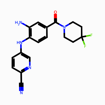 N#Cc1ccc(Nc2ccc(C(=O)N3CCC(F)(F)CC3)cc2N)cn1